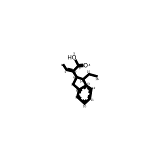 CC=C(C(=O)O)C1Cc2ccccc2C1CC